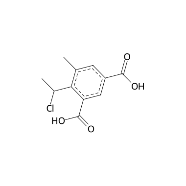 Cc1cc(C(=O)O)cc(C(=O)O)c1C(C)Cl